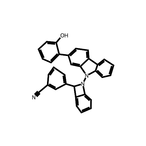 N#Cc1cccc(C2c3ccccc3N2n2c3ccccc3c3ccc(-c4ccccc4O)cc32)c1